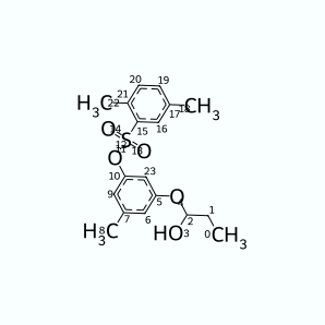 CCC(O)Oc1cc(C)cc(OS(=O)(=O)c2cc(C)ccc2C)c1